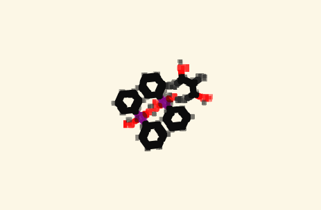 CCC(C(O)C(C)(C)C)C(O)C(C)(C)C.O=P(O)(c1ccccc1)c1ccccc1.O=P(O)(c1ccccc1)c1ccccc1